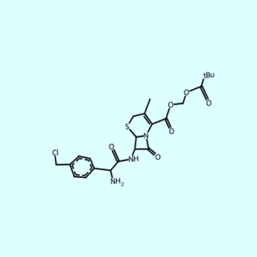 CC1=C(C(=O)OCOC(=O)C(C)(C)C)N2C(=O)C(NC(=O)C(N)c3ccc(CCl)cc3)C2SC1